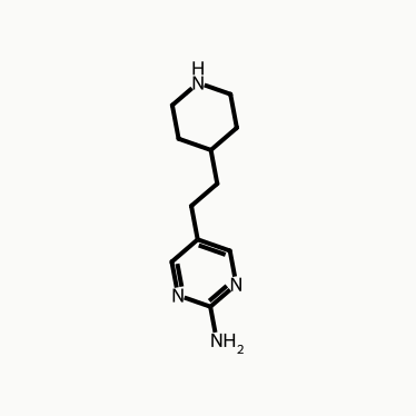 Nc1ncc(CCC2CCNCC2)cn1